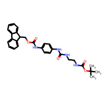 CC(C)(C)OC(=O)NCCNC(=O)Nc1ccc(NC(=O)OCC2c3ccccc3-c3ccccc32)cc1